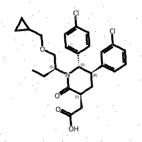 CC[C@@H](COCC1CC1)N1C(=O)[C@H](CC(=O)O)C[C@H](c2cccc(Cl)c2)[C@H]1c1ccc(Cl)cc1